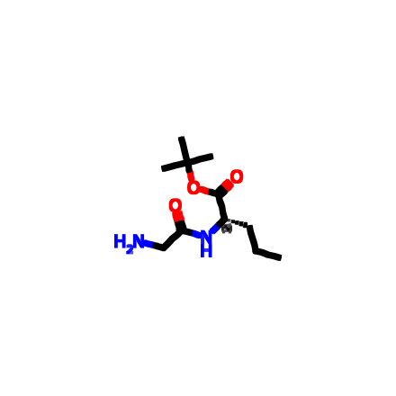 CCC[C@H](NC(=O)CN)C(=O)OC(C)(C)C